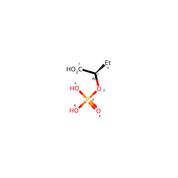 CC[C@@H](OP(=O)(O)O)C(=O)O